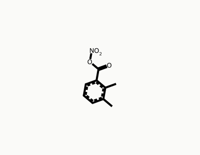 Cc1cccc(C(=O)O[N+](=O)[O-])c1C